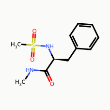 CNC(=O)[C@H](Cc1ccccc1)NS(C)(=O)=O